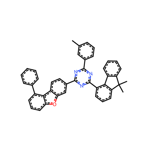 Cc1cccc(-c2nc(-c3ccc4c(c3)oc3cccc(-c5ccccc5)c34)nc(-c3cccc4c3-c3ccccc3C4(C)C)n2)c1